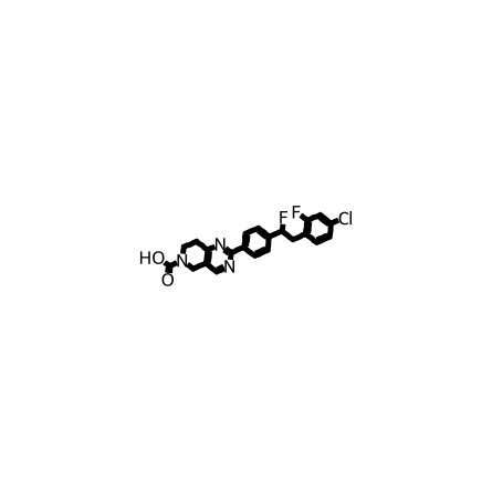 O=C(O)N1CCc2nc(-c3ccc(C(F)Cc4ccc(Cl)cc4F)cc3)ncc2C1